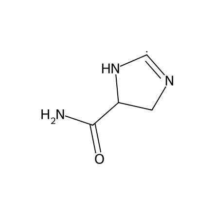 NC(=O)C1CN=[C]N1